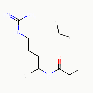 CCCCCCCCCCCC(=O)NC(CCCNC(=N)N)C(=O)OCC.CCCCCCCCCCCC(=O)O